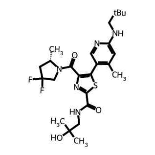 Cc1cc(NCC(C)(C)C)ncc1-c1sc(C(=O)NCC(C)(C)O)nc1C(=O)N1CC(F)(F)C[C@@H]1C